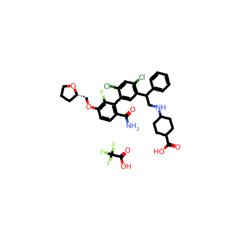 NC(=O)c1ccc(OC[C@@H]2CCCO2)c(F)c1-c1cc(C(CNC2CCC(C(=O)O)CC2)c2ccccc2)c(Cl)cc1Cl.O=C(O)C(F)(F)F